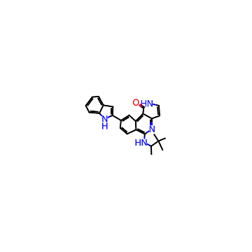 CC(Nc1nc2cc[nH]c(=O)c2c2cc(-c3cc4ccccc4[nH]3)ccc12)C(C)(C)C